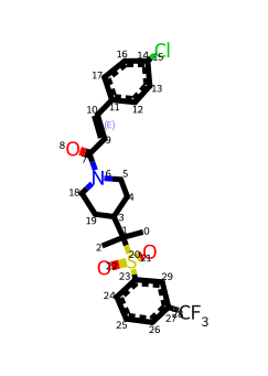 CC(C)(C1CCN(C(=O)/C=C/c2ccc(Cl)cc2)CC1)S(=O)(=O)c1cccc(C(F)(F)F)c1